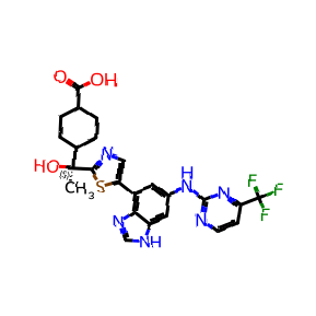 C[C@@](O)(c1ncc(-c2cc(Nc3nccc(C(F)(F)F)n3)cc3[nH]cnc23)s1)C1CCC(C(=O)O)CC1